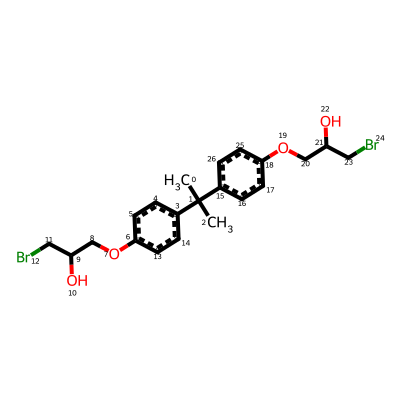 CC(C)(c1ccc(OCC(O)CBr)cc1)c1ccc(OCC(O)CBr)cc1